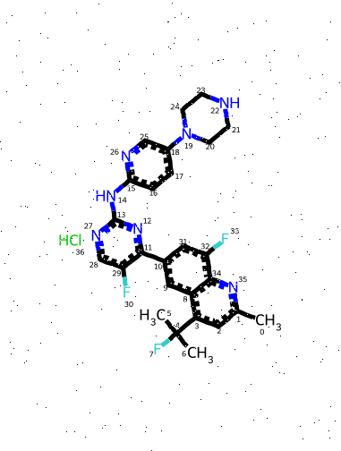 Cc1cc(C(C)(C)F)c2cc(-c3nc(Nc4ccc(N5CCNCC5)cn4)ncc3F)cc(F)c2n1.Cl